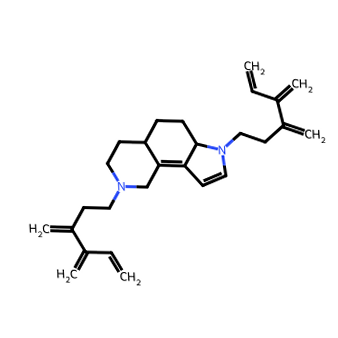 C=CC(=C)C(=C)CCN1CCC2CCC3C(=C2C1)C=CN3CCC(=C)C(=C)C=C